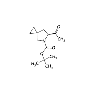 CC(=O)[C@@H]1CC2(CC2)CN1C(=O)OC(C)(C)C